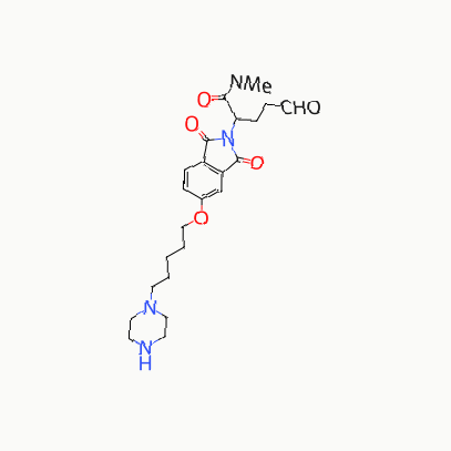 CNC(=O)C(CCC=O)N1C(=O)c2ccc(OCCCCCN3CCNCC3)cc2C1=O